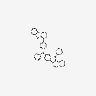 c1ccc(-n2c3cc4c(cc3c3ccc5ccccc5c32)c2ccccc2n4-c2ccc(-c3cccc4c3sc3ccccc34)cc2)cc1